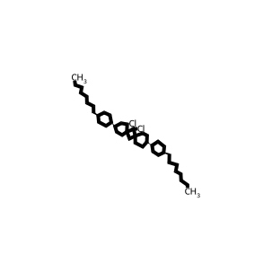 CCCCCCCC[C@H]1CC[C@H](C2CCC3(CC2)CC2(CCC([C@H]4CC[C@H](CCCCCCCC)CC4)CC2)C3(Cl)Cl)CC1